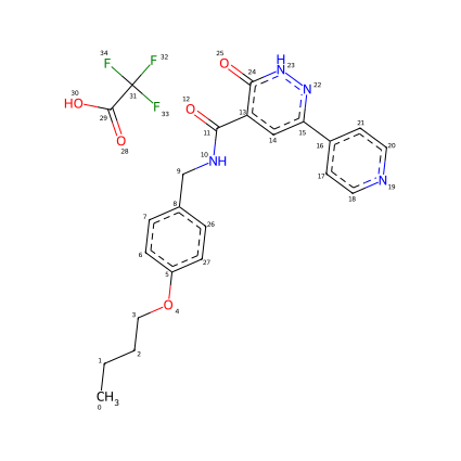 CCCCOc1ccc(CNC(=O)c2cc(-c3ccncc3)n[nH]c2=O)cc1.O=C(O)C(F)(F)F